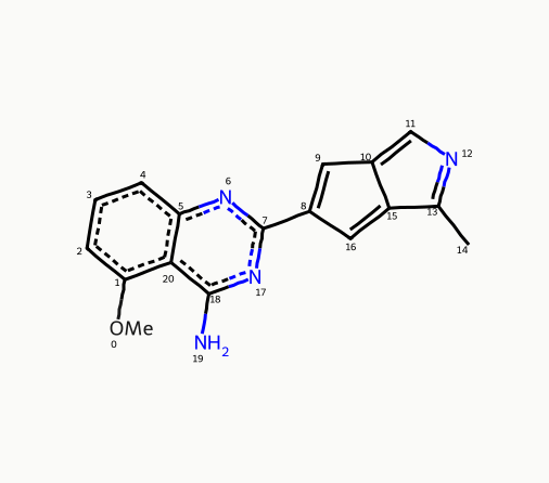 COc1cccc2nc(C3=CC4=CN=C(C)C4=C3)nc(N)c12